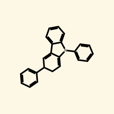 C1=c2c(n(-c3ccccc3)c3ccccc23)=CCC1c1ccccc1